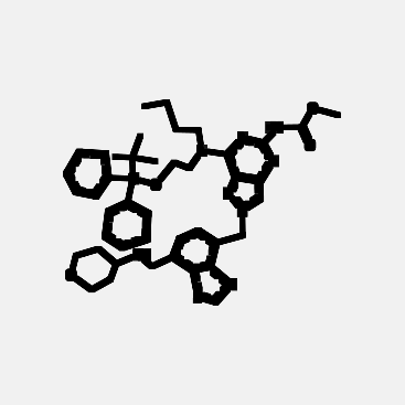 CCCCN(CCO[Si](c1ccccc1)(c1ccccc1)C(C)(C)C)c1nc(NC(=O)OC)nc2cn(Cc3ccc(CNC4CCOCC4)c4scnc34)nc12